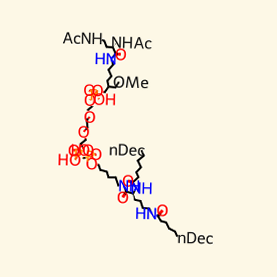 CCCCCCCCCCCCCCCC(=O)NCCCC[C@H](NC(=O)CCCCCCCCCCCCCCC)C(=O)NCCCCCCOP(=O)(O)CP(=O)(O)OCCOCCOCCOP(=O)(O)OCC(CCCCNC(=O)[C@H](CCNC(C)=O)NC(C)=O)COC